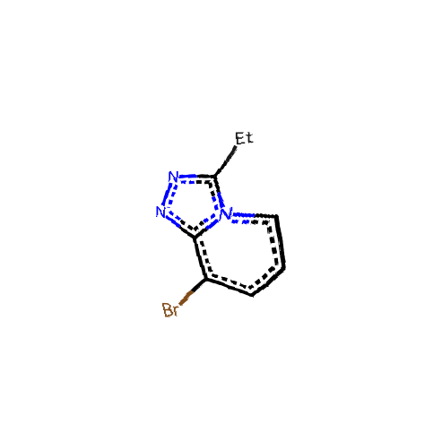 CCc1nnc2c(Br)cccn12